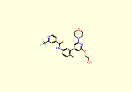 Cc1ccc(NC(=O)c2ccnc(C(F)(F)F)c2)cc1-c1cc(OCCO)nc(N2CCOCC2)c1